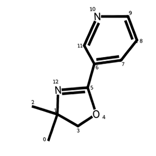 CC1(C)COC(c2c[c]cnc2)=N1